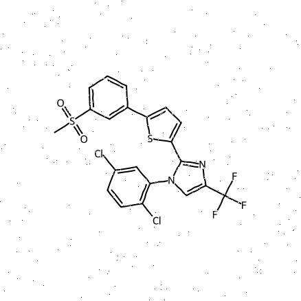 CS(=O)(=O)c1cccc(-c2ccc(-c3nc(C(F)(F)F)cn3-c3cc(Cl)ccc3Cl)s2)c1